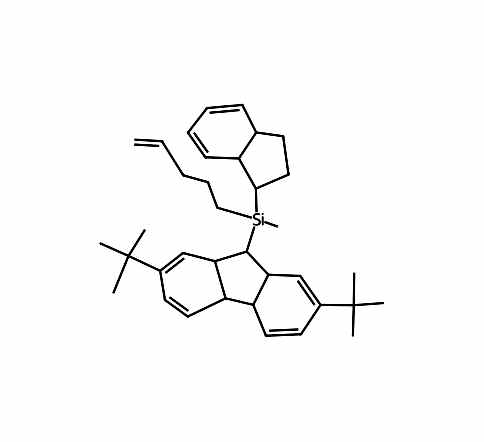 C=CCCC[Si](C)(C1CCC2C=CC=CC21)C1C2C=C(C(C)(C)C)C=CC2C2C=CC(C(C)(C)C)=CC21